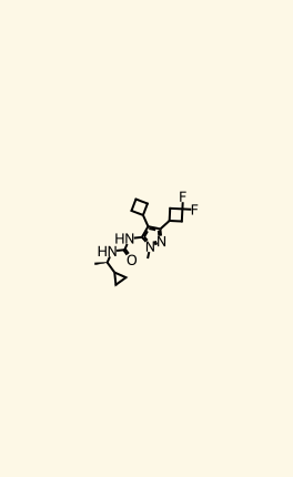 C[C@@H](NC(=O)Nc1c(C2CCC2)c(C2CC(F)(F)C2)nn1C)C1CC1